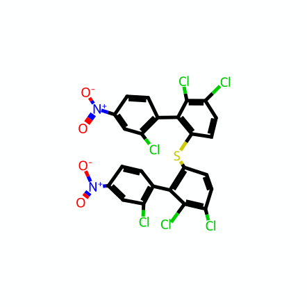 O=[N+]([O-])c1ccc(-c2c(Sc3ccc(Cl)c(Cl)c3-c3ccc([N+](=O)[O-])cc3Cl)ccc(Cl)c2Cl)c(Cl)c1